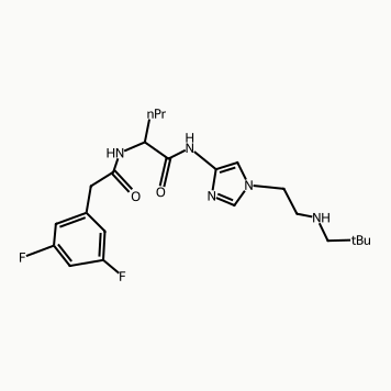 CCCC(NC(=O)Cc1cc(F)cc(F)c1)C(=O)Nc1cn(CCNCC(C)(C)C)cn1